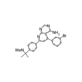 CNC(C)(C)c1ccc(-c2cc(-c3cccc(Br)c3)c3c(N)ncnc3n2)cc1